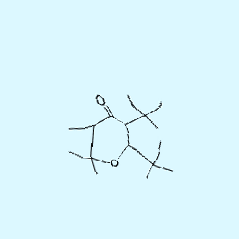 CC1C(=O)C(C(C)(C)C)C(C(C)(C)C)OC1(C)C